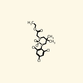 CCOC(=O)CN1CC(C)(C)CN(c2c(Cl)cc(Cl)cc2Cl)S1(=O)=O